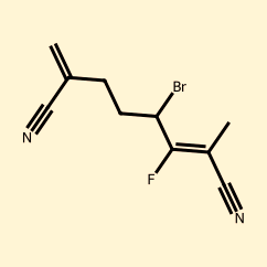 C=C(C#N)CCC(Br)/C(F)=C(\C)C#N